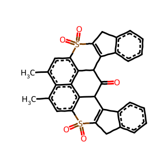 Cc1cc2c3c4c5c(cc(C)c14)S(=O)(=O)C1=C(c4ccccc4C1)C5C(=O)C3C1=C(Cc3ccccc31)S2(=O)=O